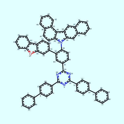 c1ccc(-c2ccc(-c3nc(-c4ccc(-c5ccccc5)cc4)nc(-c4ccc(-n5c6cc7ccccc7cc6c6c7ccccc7ccc65)c(-c5ccc6c(c5)oc5ccccc56)c4)n3)cc2)cc1